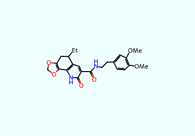 CCC1CC2=C(OCO2)c2[nH]c(=O)c(C(=O)NCCc3ccc(OC)c(OC)c3)cc21